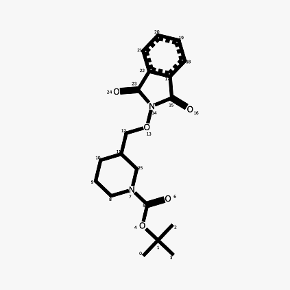 CC(C)(C)OC(=O)N1CCCC(CON2C(=O)c3ccccc3C2=O)C1